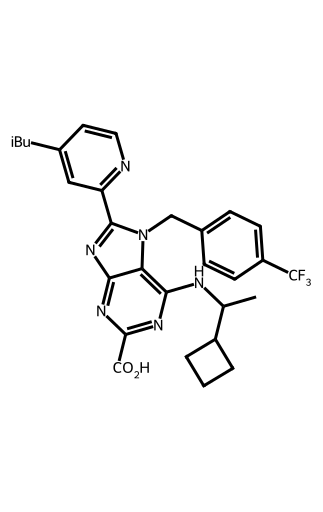 CCC(C)c1ccnc(-c2nc3nc(C(=O)O)nc(NC(C)C4CCC4)c3n2Cc2ccc(C(F)(F)F)cc2)c1